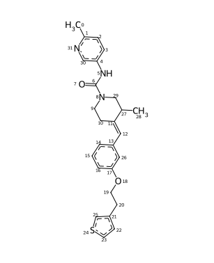 Cc1ccc(NC(=O)N2CCC(=Cc3cccc(OCCc4ccsc4)c3)C(C)C2)cn1